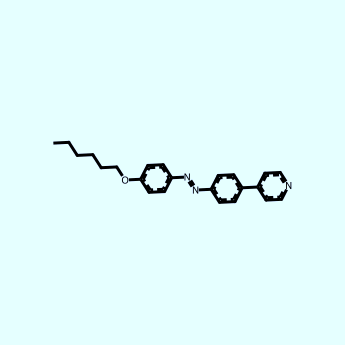 CCCCCCOc1ccc(N=Nc2ccc(-c3ccncc3)cc2)cc1